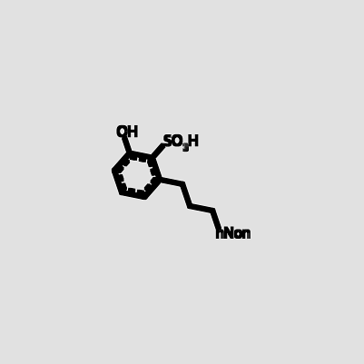 CCCCCCCCCCCCc1cccc(O)c1S(=O)(=O)O